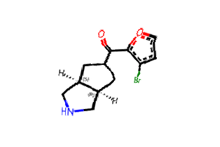 O=C(c1occc1Br)C1C[C@H]2CNC[C@H]2C1